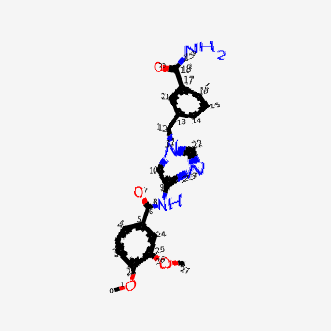 COc1ccc(C(=O)Nc2cn(Cc3cccc(C(N)=O)c3)cn2)cc1OC